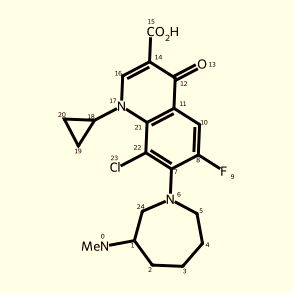 CNC1CCCCN(c2c(F)cc3c(=O)c(C(=O)O)cn(C4CC4)c3c2Cl)C1